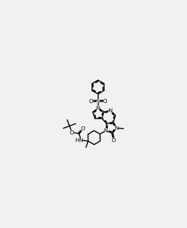 Cn1c(=O)n(C2CCC(C)(NC(=O)OC(C)(C)C)CC2)c2c3ccn(S(=O)(=O)c4ccccc4)c3ncc21